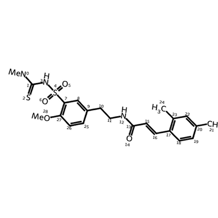 CNC(=S)NS(=O)(=O)c1cc(CCNC(=O)/C=C/c2ccc(C)cc2C)ccc1OC